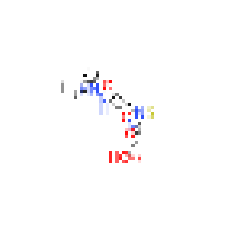 Cc1ccccc1NC(=O)Nc1ccc(CC(=O)N2CSCC2c2cc(CCC(=O)O)on2)cc1